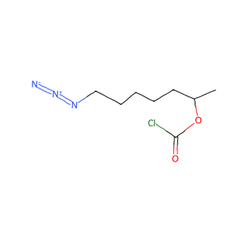 CC(CCCCCN=[N+]=[N-])OC(=O)Cl